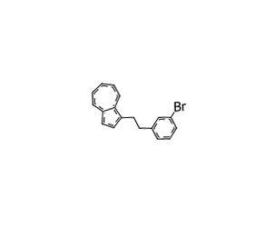 Brc1cccc(CCc2ccc3cccccc2-3)c1